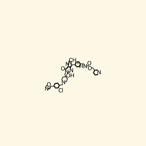 Cn1nc2c(=O)n(CC3(O)CCN(Cc4ccc(-c5cnco5)cc4Cl)CC3)cnc2c1-c1ccc(CNC(=O)OCc2cccnc2)cc1